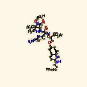 CNCCNc1ccc2cc(OCC(ON=C(C(=O)NC3C(=O)N(OS(=O)(=O)O)C3(C)C)c3csc(N)n3)C(=O)O)ccc2n1